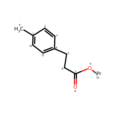 Cc1ccc(CCC(=O)OC(C)C)cc1